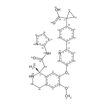 COc1cc2c(cc1Oc1ccc(-c3ccc(C4(C(=O)O)CC4)cc3)nc1)[C@@](C)(CC(=O)Nc1nccs1)NCC2